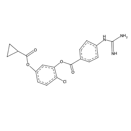 N=C(N)Nc1ccc(C(=O)Oc2cc(OC(=O)C3CC3)ccc2Cl)cc1